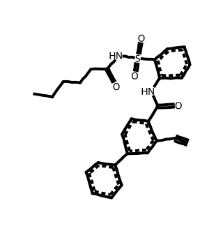 C#Cc1cc(-c2ccccc2)ccc1C(=O)Nc1ccccc1S(=O)(=O)NC(=O)CCCCC